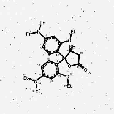 CCOc1cc(N(CC)CC)ccc1C1(c2ccc(N(CC)CC)cc2OCC)OC(=O)CC1=N